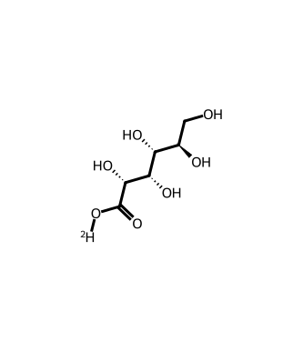 [2H]OC(=O)[C@H](O)[C@@H](O)[C@H](O)[C@H](O)CO